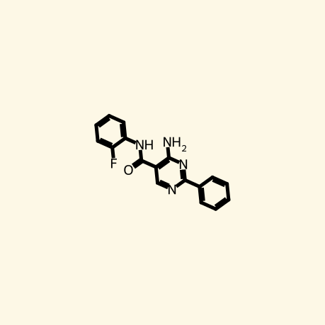 Nc1nc(-c2ccccc2)ncc1C(=O)Nc1ccccc1F